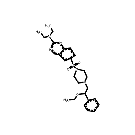 CCOC(CN1CCN(S(=O)(=O)c2ccc3nc(N(CC)CC)ncc3c2)CC1)c1ccccc1